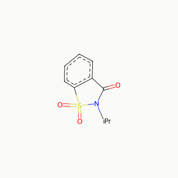 CC(C)N1C(=O)c2ccccc2S1(=O)=O